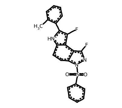 Cc1ccccc1-c1[nH]c2ccc3c(c(F)nn3S(=O)(=O)c3ccccc3)c2c1F